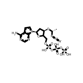 C[C@H](N=[N+]=[N-])O[C@@H]1C[C@H](n2ccc3c(N)ncnc32)OC1COP(=O)(O)OP(=O)(O)OP(=O)(O)O